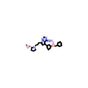 COC[C@H]1CCCN1CCCc1cc(-c2cccc(OCc3ccccc3)c2)c2c(N)ncnn12